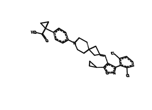 O=C(O)C1(c2ccc(N3CCC4(CC3)CC(=Cc3c(-c5c(Cl)cccc5Cl)noc3C3CC3)C4)cc2)CC1